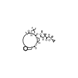 C=C[C@@H]1C[C@]1(NC(=O)[C@@H]1C[C@@H]2CN1C(=O)[C@H](CC(F)(F)F)NC(=O)N(C)CCCCCc1cccc3c1CN(C3)C(=O)O2)C(=O)NS(=O)(=O)C1CC1